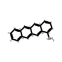 Bc1cccc2cc3cc4ccccc4cc3cc12